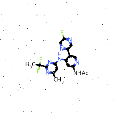 CC(=O)Nc1cc(Nc2cc(C)nc(C(C)(F)F)n2)c(-c2cnc(F)cn2)cn1